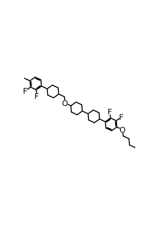 CCCCOc1ccc(C2CCC(C3CCC(OCC4CCC(c5ccc(C)c(F)c5F)CC4)CC3)CC2)c(F)c1F